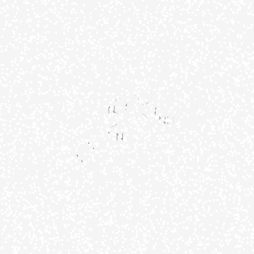 CN1CCN(CCn2cc(-c3cc(Oc4ccc(N)cc4F)ccn3)cn2)CC1